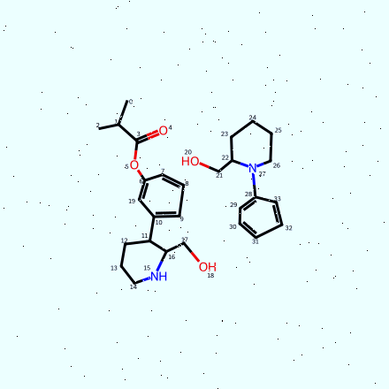 CC(C)C(=O)Oc1cccc(C2CCCNC2CO)c1.OCC1CCCCN1c1ccccc1